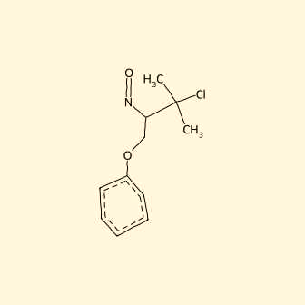 CC(C)(Cl)C(COc1ccccc1)N=O